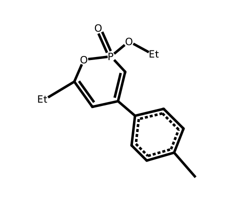 CCOP1(=O)C=C(c2ccc(C)cc2)C=C(CC)O1